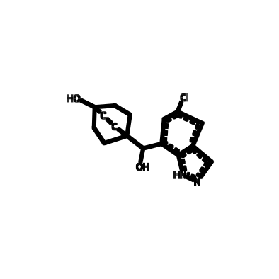 OC(c1cc(Cl)cc2cn[nH]c12)C12CCC(O)(CC1)CC2